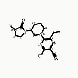 CCc1nc(C#N)c(Cl)nc1N1CCCC(N2CCN(C)C2=O)C1